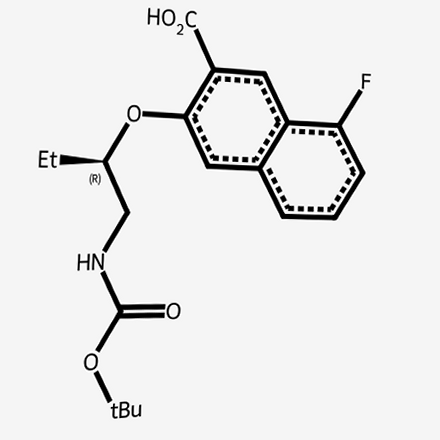 CC[C@H](CNC(=O)OC(C)(C)C)Oc1cc2cccc(F)c2cc1C(=O)O